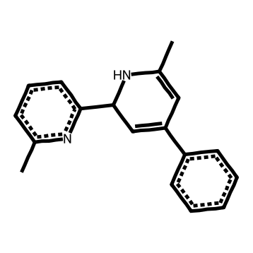 CC1=CC(c2ccccc2)=CC(c2cccc(C)n2)N1